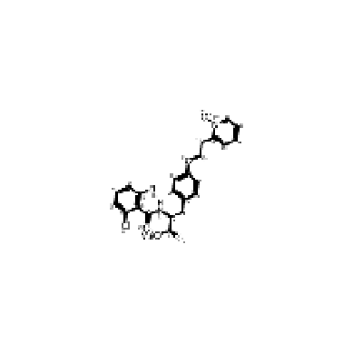 COC(=O)[C@H](Cc1ccc(OCCc2cccc[n+]2[O-])cc1)NC(=O)c1c(Cl)cccc1Cl